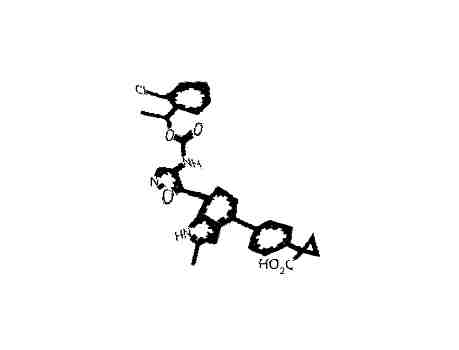 Cc1cc2c(-c3ccc(C4(C(=O)O)CC4)cc3)ccc(-c3oncc3NC(=O)OC(C)c3ccccc3Cl)c2[nH]1